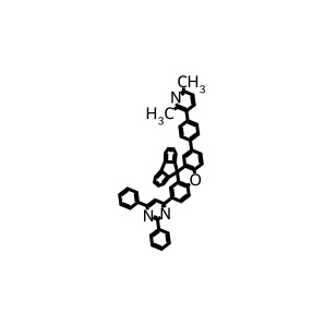 Cc1ccc(-c2ccc(-c3ccc4c(c3)C3(c5cc(-c6cc(-c7ccccc7)nc(-c7ccccc7)n6)ccc5O4)c4ccccc4-c4ccccc43)cc2)c(C)n1